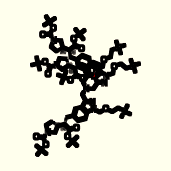 CC(C)(C)OC(=O)[C@@H](Cc1ccc2c(c1)c(CN(Cc1nn(COCC[Si](C)(C)C)c3ccc(C[C@H](C(=O)OC(C)(C)C)[C@H]4CCN(C(=O)OC(C)(C)C)C4)cc13)Cc1nn(COCC[Si](C)(C)C)c3ccc(C[C@H](C(=O)OC(C)(C)C)[C@H]4CCN(C(=O)OC(C)(C)C)C4)cc13)nn2COCC[Si](C)(C)C)[C@H]1CCN(C(=O)OC(C)(C)C)C1